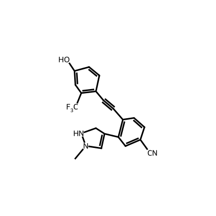 CN1C=C(c2cc(C#N)ccc2C#Cc2ccc(O)cc2C(F)(F)F)CN1